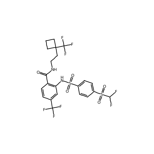 O=C(NCCC1(C(F)(F)F)CCC1)c1ccc(C(F)(F)F)cc1NS(=O)(=O)c1ccc(S(=O)(=O)C(F)F)cc1